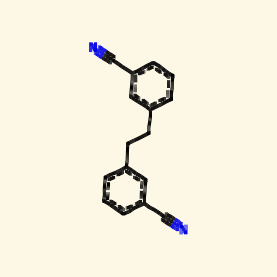 N#Cc1cccc(CCc2cccc(C#N)c2)c1